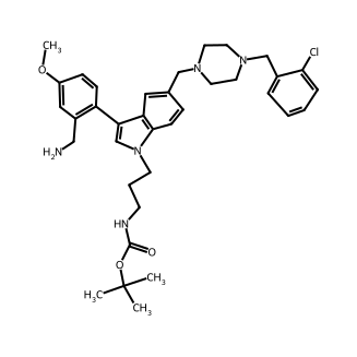 COc1ccc(-c2cn(CCCNC(=O)OC(C)(C)C)c3ccc(CN4CCN(Cc5ccccc5Cl)CC4)cc23)c(CN)c1